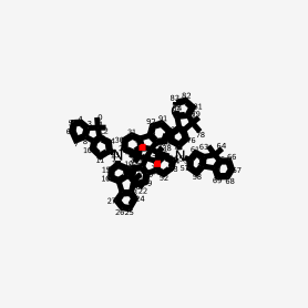 CC1(C)c2ccccc2-c2ccc(N(c3ccc4c(c3)C(C)(C)c3ccccc3-4)c3ccc4c(c3)C(C(C)(C)C)(C3(C(C)(C)C)c5ccccc5-c5ccc(N(c6ccc7c(c6)C(C)(C)c6ccccc6-7)c6ccc7c(c6)C(C)(C)c6ccccc6-7)cc53)c3ccccc3-4)cc21